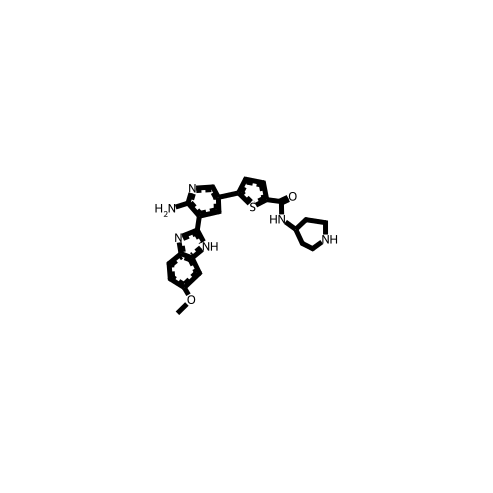 COc1ccc2nc(-c3cc(-c4ccc(C(=O)NC5CCNCC5)s4)cnc3N)[nH]c2c1